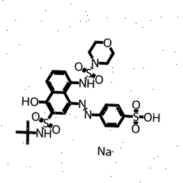 CC(C)(C)NS(=O)(=O)c1cc(N=Nc2ccc(S(=O)(=O)O)cc2)c2c(NS(=O)(=O)N3CCOCC3)cccc2c1O.[Na]